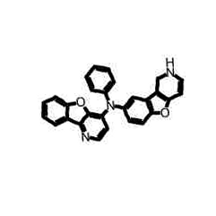 C1=Cc2oc3ccc(N(c4ccccc4)c4ccnc5c4oc4ccccc45)cc3c2CN1